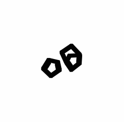 C1=C2CCC(=C1)C2.C1=CCC=C1